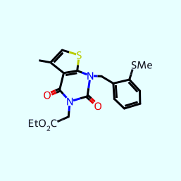 CCOC(=O)Cn1c(=O)c2c(C)csc2n(Cc2ccccc2SC)c1=O